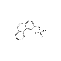 O=S(=O)(F)Oc1ccc2ccc3ccccc3c2c1